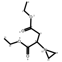 CCOC(=O)CC(C(=O)OCC)N1CC1